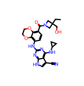 CCC1(CO)CN(C(=O)c2ccc(Nc3nc(NC4CC4)c4c(C#N)c[nH]c4n3)c3c2OCCO3)C1